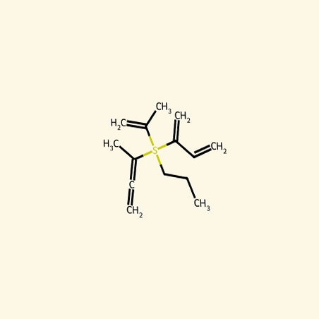 C=C=C(C)S(CCC)(C(=C)C)C(=C)C=C